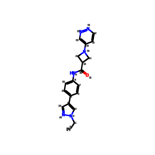 CC(C)Cn1cc(-c2ccc(NC(=O)C3CN(c4ccnnc4)C3)cc2)cn1